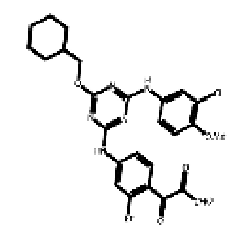 CCc1cc(Nc2nc(Nc3ccc(OC)c(Cl)c3)nc(OCC3CCCCC3)n2)ccc1C(=O)C(=O)C=O